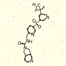 CC(F)(F)c1cncc(S(=O)(=O)c2ccc(CNC(=O)N3Cc4ccncc4C3)nc2)c1